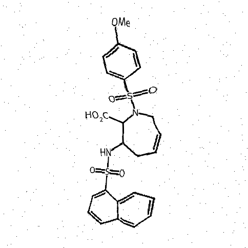 COc1ccc(S(=O)(=O)N2CC=CCC(NS(=O)(=O)c3cccc4ccccc34)C2C(=O)O)cc1